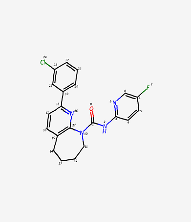 O=C(Nc1ccc(F)cn1)N1CCCCc2ccc(-c3cccc(Cl)c3)nc21